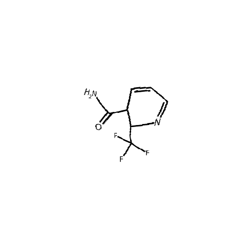 NC(=O)C1C=CC=NC1C(F)(F)F